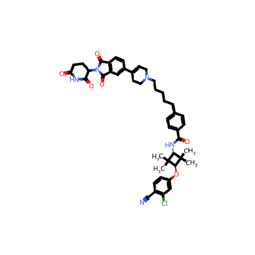 CC1(C)[C@H](NC(=O)c2ccc(CCCCCN3CC=C(c4ccc5c(c4)C(=O)N(C4CCC(=O)NC4=O)C5=O)CC3)cc2)C(C)(C)[C@H]1Oc1ccc(C#N)c(Cl)c1